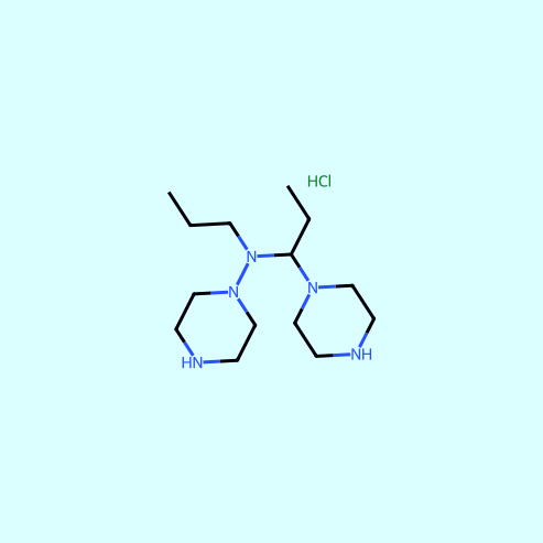 CCCN(C(CC)N1CCNCC1)N1CCNCC1.Cl